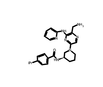 CC(C)c1ccc(C(=O)N[C@@H]2CCCN(c3cnc(CN)c(Nc4ccccn4)n3)C2)cc1